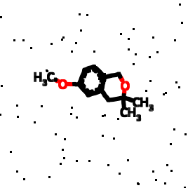 COc1ccc2c(c1)CC(C)(C)OC2